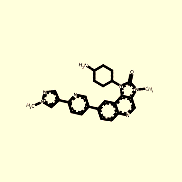 Cn1cc(-c2ccc(-c3ccc4ncc5c(c4c3)n(C3CCC(N)CC3)c(=O)n5C)cn2)cn1